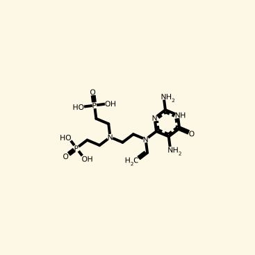 C=CN(CCN(CCP(=O)(O)O)CCP(=O)(O)O)c1nc(N)[nH]c(=O)c1N